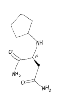 NC(=O)C[C@H](NC1CCCC1)C(N)=O